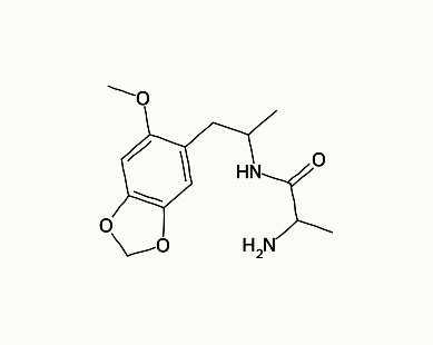 COc1cc2c(cc1CC(C)NC(=O)C(C)N)OCO2